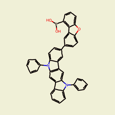 OB(O)c1cccc2oc3ccc(-c4ccc5c(c4)c4cc6c(cc4n5-c4ccccc4)c4ccccc4n6-c4ccccc4)cc3c12